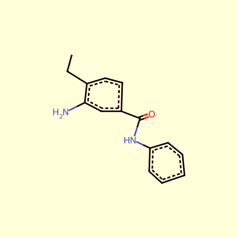 CCc1ccc(C(=O)Nc2ccccc2)cc1N